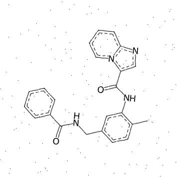 Cc1ccc(CNC(=O)c2ccccc2)cc1NC(=O)c1cnc2ccccn12